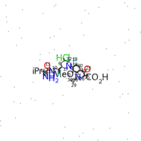 COc1c(N2CCCC(=C(F)CNC(=O)[C@@H](N)C(C)C)C2)c(F)cc2c(=O)c(C(=O)O)cn(C3CC3)c12.Cl